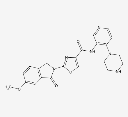 COc1ccc2c(c1)C(=O)N(c1nc(C(=O)Nc3cnccc3N3CCNCC3)co1)C2